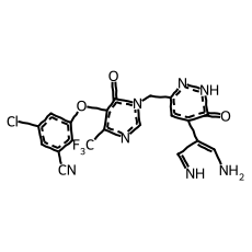 N#Cc1cc(Cl)cc(Oc2c(C(F)(F)F)ncn(Cc3cc(/C(C=N)=C/N)c(=O)[nH]n3)c2=O)c1